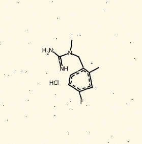 Cc1cc(F)ccc1CN(C)C(=N)N.Cl